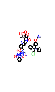 CC[C@@]1(O)C(=O)OCc2c1cc1n(c2=O)Cc2cc3c(CN(C)C)c(O)ccc3nc2-1.CN(C)CCOc1ccc(/C(=C(/CCCl)c2ccccc2)c2ccccc2)cc1.Nc1n[n+]([O-])c2ccccc2[n+]1[O-]